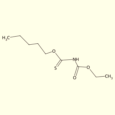 CCCCCOC(=S)NC(=O)OCC